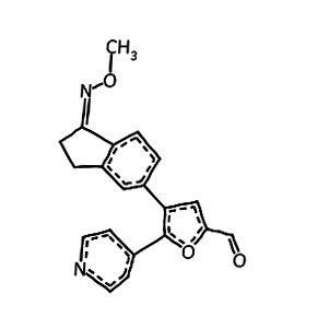 CO/N=C1/CCc2cc(-c3cc(C=O)oc3-c3ccncc3)ccc21